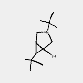 CC(C)(C)C1C2CN(C(C)(C)C)CC21S